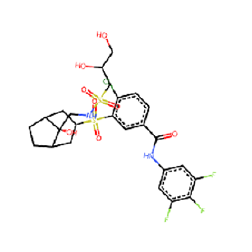 O=C(Nc1cc(F)c(F)c(F)c1)c1ccc(Cl)c(S(=O)(=O)[C@H]2CC3CCC(C2)[C@]3(O)CNS(=O)(=O)CC(O)CO)c1